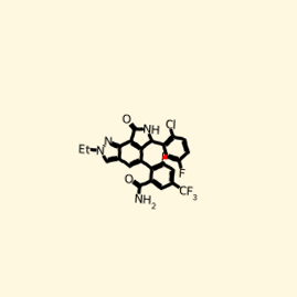 CCn1cc2cc(-c3c(F)cc(C(F)(F)F)cc3C(N)=O)c3c(c2n1)C(=O)NC3c1cc(F)ccc1Cl